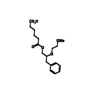 COCCOC(COC(=O)CCCCC(=O)O)Cc1ccccc1